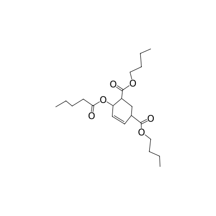 CCCCOC(=O)C1C=CC(OC(=O)CCCC)C(C(=O)OCCCC)C1